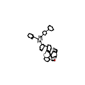 c1ccc(-c2ccc(-c3nc(-c4ccccc4)nc(-c4cccc(-c5cccc6c5Sc5ccccc5C65c6ccccc6-c6ccccc65)c4)n3)cc2)cc1